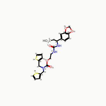 O=C(O)CC(NC(=O)NCCOC(=O)N(Cc1cccs1)Cc1cccs1)c1ccc2c(c1)OCO2